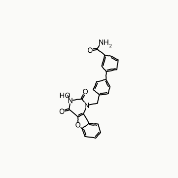 NC(=O)c1cccc(-c2ccc(Cn3c(=O)n(O)c(=O)c4oc5ccccc5c43)cc2)c1